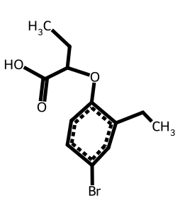 CCc1cc(Br)ccc1OC(CC)C(=O)O